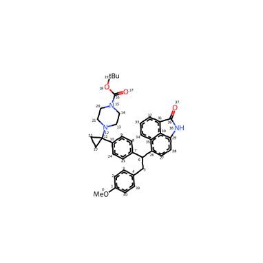 COc1ccc(CC(c2ccc(C3(N4CCN(C(=O)OC(C)(C)C)CC4)CC3)cc2)c2ccc3c4c(cccc24)C(=O)N3)cc1